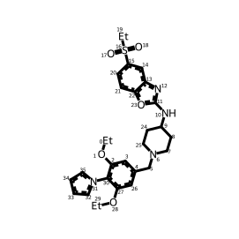 CCOc1cc(CN2CCC(Nc3nc4cc(S(=O)(=O)CC)ccc4o3)CC2)cc(OCC)c1-n1cccc1